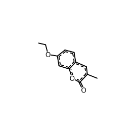 CCOc1ccc2cc(C)c(=O)oc2c1